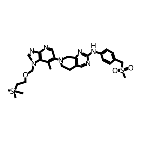 Cc1c(N2CCc3cnc(Nc4ccc(CS(C)(=O)=O)cc4)nc3C2)cnc2ncn(COCC[Si](C)(C)C)c12